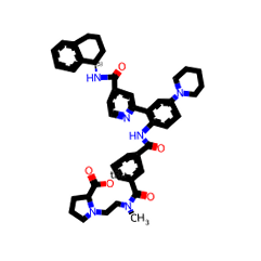 CN(CCN1CCCC1C(=O)OC(C)(C)C)C(=O)c1cccc(C(=O)Nc2ccc(N3CCCCC3)cc2-c2cc(C(=O)N[C@H]3CCCc4ccccc43)ccn2)c1